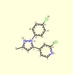 Cc1cc(-c2ccnc(Cl)c2)n(-c2ccc(Cl)cc2)n1